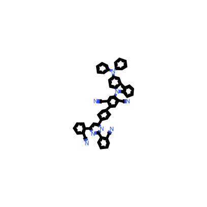 N#Cc1cc(-n2c3ccccc3c3cc(N(c4ccccc4)c4ccccc4)ccc32)c(C#N)cc1-c1ccc(-c2cc(-c3ccccc3C#N)nc(-c3ccccc3C#N)n2)cc1